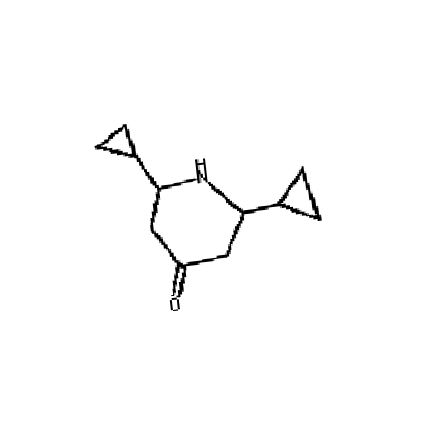 O=C1CC(C2CC2)NC(C2CC2)C1